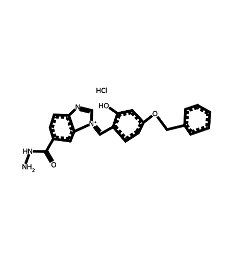 Cl.NNC(=O)c1ccc2c(c1)[N+](=Cc1ccc(OCc3ccccc3)cc1O)C=N2